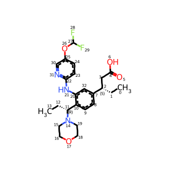 CC[C@@H](CC(=O)O)c1ccc([C@@H](CC)N2CCOCC2)c(Nc2ccc(OC(F)F)cn2)c1